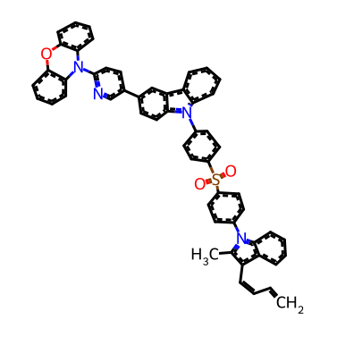 C=C/C=C\c1c(C)n(-c2ccc(S(=O)(=O)c3ccc(-n4c5ccccc5c5cc(-c6ccc(N7c8ccccc8Oc8ccccc87)nc6)ccc54)cc3)cc2)c2ccccc12